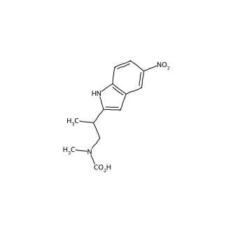 CC(CN(C)C(=O)O)c1cc2cc([N+](=O)[O-])ccc2[nH]1